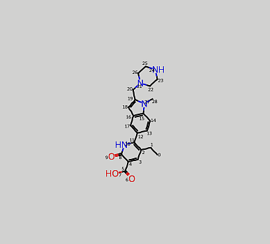 CCc1cc(C(=O)O)c(=O)[nH]c1-c1ccc2c(c1)cc(CN1CCNCC1)n2C